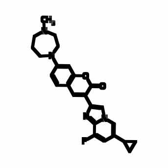 CN1CCCN(c2ccc3cc(-c4cn5cc(C6CC6)cc(F)c5n4)c(=O)oc3c2)CC1